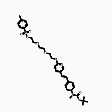 Cc1ccc(S(=O)(=O)OCCOCCOCCOc2ccc(/C=C/C3=CCC(N(C)C(=O)OC(C)(C)C)C=C3)cn2)cc1